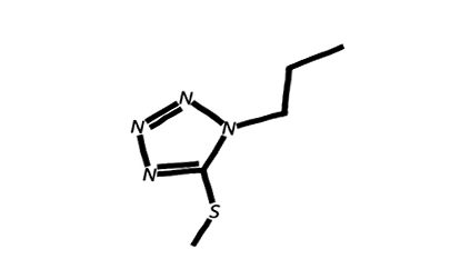 CCCn1nnnc1SC